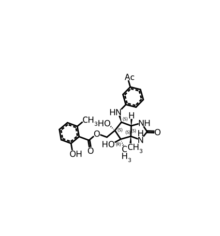 CC(=O)c1cccc(N[C@H]2[C@@H]3NC(=O)N[C@]3(C)[C@@](C)(O)[C@@]2(O)COC(=O)c2c(C)cccc2O)c1